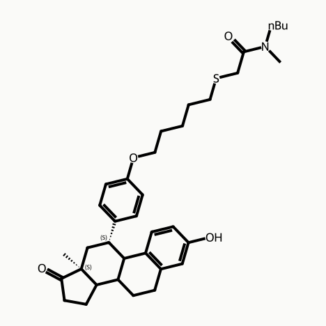 CCCCN(C)C(=O)CSCCCCCOc1ccc([C@H]2C[C@]3(C)C(=O)CCC3C3CCc4cc(O)ccc4C32)cc1